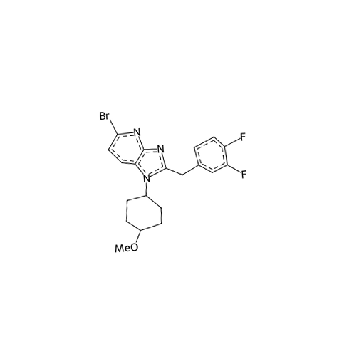 COC1CCC(n2c(Cc3ccc(F)c(F)c3)nc3nc(Br)ccc32)CC1